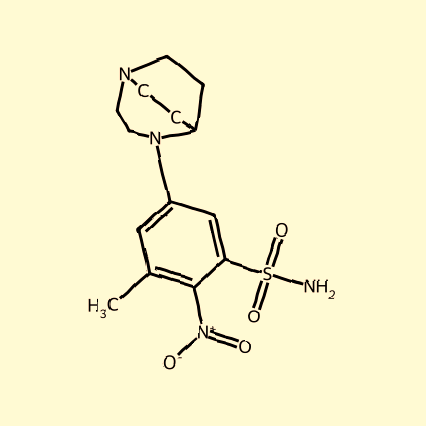 Cc1cc(N2CCN3CCC2CC3)cc(S(N)(=O)=O)c1[N+](=O)[O-]